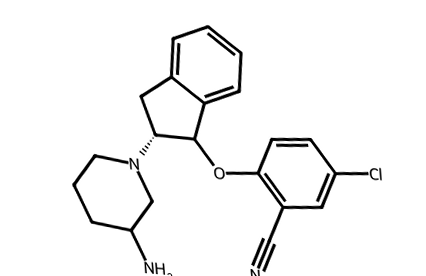 N#Cc1cc(Cl)ccc1OC1c2ccccc2C[C@H]1N1CCCC(N)C1